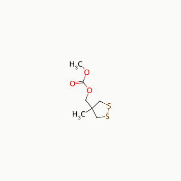 COC(=O)OCC1(C)CSSC1